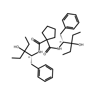 CCC(O)(CC)[C@@H](Cc1ccccc1)NC(=O)C1(C(=O)N[C@H](Cc2ccccc2)C(O)(CC)CC)CCCC1